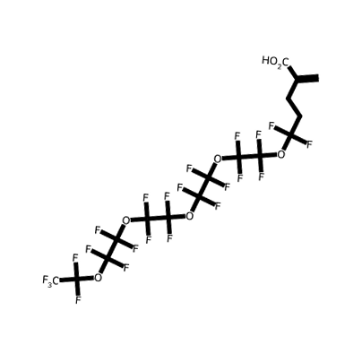 C=C(CCC(F)(F)OC(F)(F)C(F)(F)OC(F)(F)C(F)(F)OC(F)(F)C(F)(F)OC(F)(F)C(F)(F)OC(F)(F)C(F)(F)F)C(=O)O